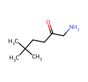 CC(C)(C)CCC(=O)CN